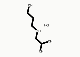 Cl.OCCCNCC(O)O